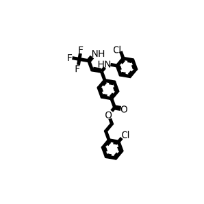 N=C(/C=C(\Nc1ccccc1Cl)c1ccc(C(=O)OCCc2ccccc2Cl)cc1)C(F)(F)F